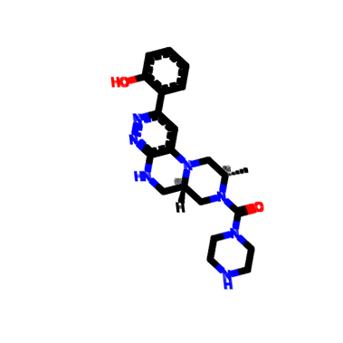 C[C@H]1CN2c3cc(-c4ccccc4O)nnc3NC[C@H]2CN1C(=O)N1CCNCC1